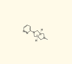 CN1C[C@@H]2CN(c3cccnn3)C[C@@H]2C1